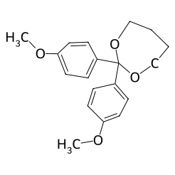 COc1ccc(C2(c3ccc(OC)cc3)OCCCCO2)cc1